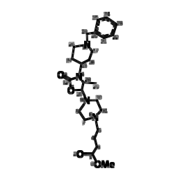 COC(=O)CCCN1CCN(C2OC(=O)N(C3CCN(Cc4ccccc4)CC3)C2C)CC1